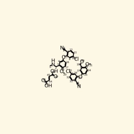 CNCc1cc(Oc2cc(Cl)ccc2C#N)ccc1OC.COc1ccc(Oc2cc(Cl)ccc2C#N)cc1C=O.O=C(O)C=CC(=O)O